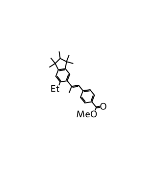 CCc1cc2c(cc1/C(C)=C/c1ccc(C(=O)OC)cc1)C(C)(C)C(C)C2(C)C